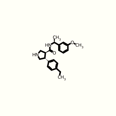 CCc1ccc([C@@H]2CNC[C@H]2C(=O)N[C@@H](C)c2cccc(OC)c2)cc1